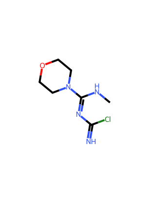 CN/C(=N\C(=N)Cl)N1CCOCC1